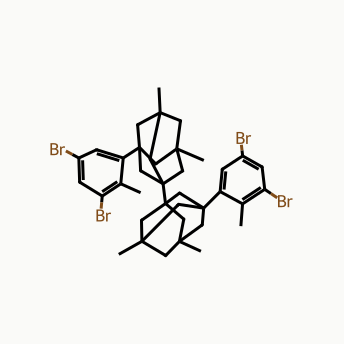 Cc1c(Br)cc(Br)cc1C12CC3(C)CC(C)(C1)CC(C14CC5(C)CC(C)(CC(c6cc(Br)cc(Br)c6C)(C5)C1)C4)(C3)C2